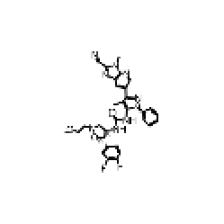 COCCN1C[C@@H](NC(=O)Nc2c(C)c(-c3cnc4c(c3)nc(C#N)n4C)nn2-c2ccccc2)[C@H](c2ccc(F)c(F)c2)O1